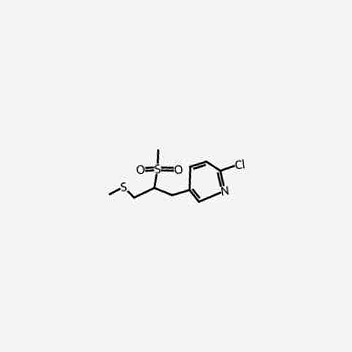 CSCC(Cc1ccc(Cl)nc1)S(C)(=O)=O